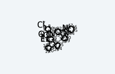 CCC(=O)Oc1cc(Cl)ccc1N(c1ccc2c3ccccc3c3ccccc3c2c1)c1ccc2c(c1)c1ccccc1n1c3ccccc3nc21